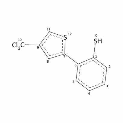 Sc1ccccc1-c1cc(C(Cl)(Cl)Cl)cs1